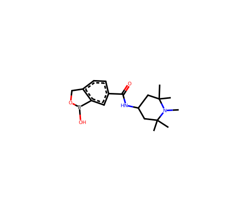 CN1C(C)(C)CC(NC(=O)c2ccc3c(c2)B(O)OC3)CC1(C)C